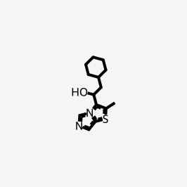 Cc1sc2cncn2c1C(O)CC1CCCCC1